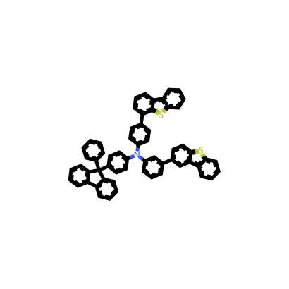 c1ccc(C2(c3ccc(N(c4ccc(-c5cccc6c5sc5ccccc56)cc4)c4cccc(-c5ccc6sc7ccccc7c6c5)c4)cc3)c3ccccc3-c3ccccc32)cc1